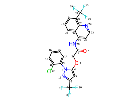 O=C(COc1cc(C(F)(F)F)nn1-c1ccccc1Cl)Nc1ccnc2c(C(F)(F)F)cccc12